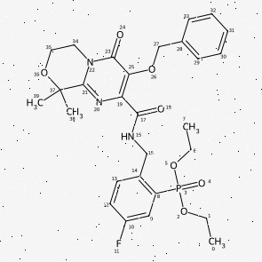 CCOP(=O)(OCC)c1cc(F)ccc1CNC(=O)c1nc2n(c(=O)c1OCc1ccccc1)CCOC2(C)C